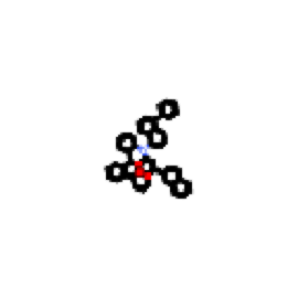 c1ccc(-c2cccc3c(N(c4cccc(-c5ccc6ccccc6c5)c4)c4ccccc4-c4cc5ccccc5c5ccccc45)cccc23)cc1